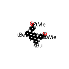 COC(=O)c1ccc(-c2c3ccc(C(C)(C)C)cc3c3ccc4c5cc(C(C)(C)C)ccc5c(-c5ccc(C(=O)OC)cc5)c5ccc2c3c54)cc1